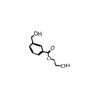 O=C(OCCO)c1cccc(CO)c1